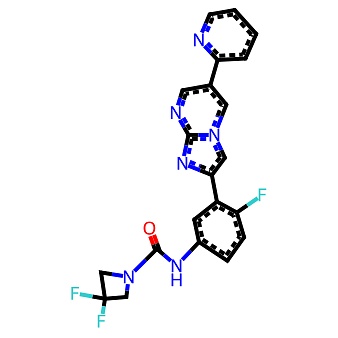 O=C(Nc1ccc(F)c(-c2cn3cc(-c4ccccn4)cnc3n2)c1)N1CC(F)(F)C1